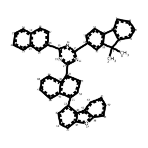 CC1(C)c2ccccc2-c2ccc(-c3nc(-c4ccc5ccccc5c4)nc(-c4ccc(-c5cccc6oc7ccccc7c56)c5ccccc45)n3)cc21